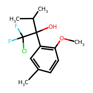 COc1ccc(C)cc1C(O)(C(C)C)C(F)(F)Cl